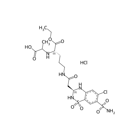 CCOC(=O)[C@H](CCCNC(=O)C[C@H]1Nc2cc(Cl)c(S(N)(=O)=O)cc2S(=O)(=O)N1)NC(C)C(=O)O.Cl